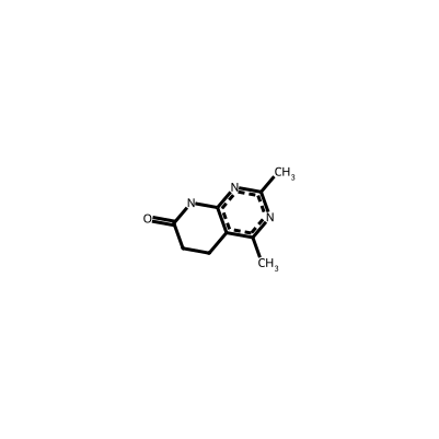 Cc1nc(C)c2c(n1)[N]C(=O)CC2